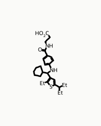 CCc1sc(C(CC)CC)cc1C(Nc1ccc(C(=O)NCCC(=O)O)cc1)C1CCCCC1